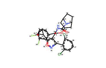 O=C(NCc1ccc(F)c(F)c1)N1C2CCC1CC(OCc1c(-c3c(Cl)cccc3Cl)noc1C1CC1)C2